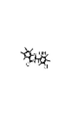 Cc1c(C)c(Cl)c(C)c(-c2nc3c(C)c(C)c(C)c(C)c3c(=O)[nH]2)c1O